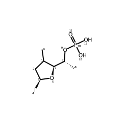 CC1C[C@H](I)O[C@@H]1[C@@H](C)OP(=O)(O)O